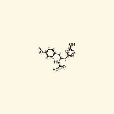 COc1ccc(CC(Cc2nnc(O)o2)NC(=O)O)cc1